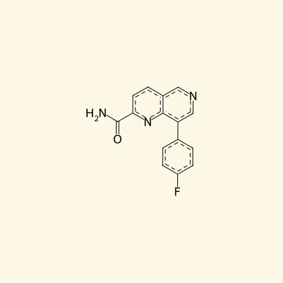 NC(=O)c1ccc2cncc(-c3ccc(F)cc3)c2n1